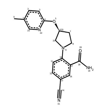 Cc1ccc(O[C@H]2CCN(c3ccc(C#N)cc3C(N)=O)C2)nc1